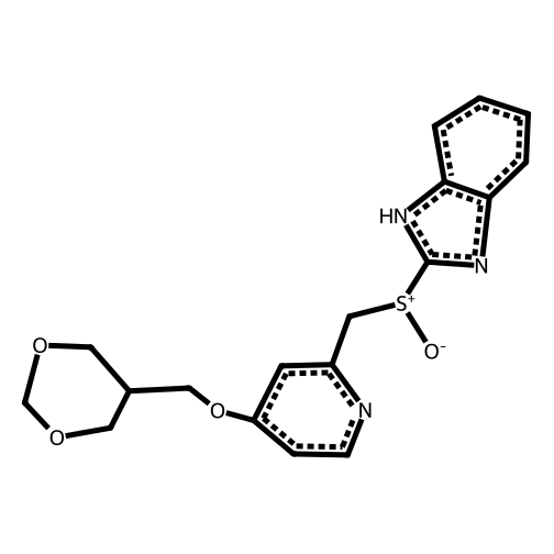 [O-][S+](Cc1cc(OCC2COCOC2)ccn1)c1nc2ccccc2[nH]1